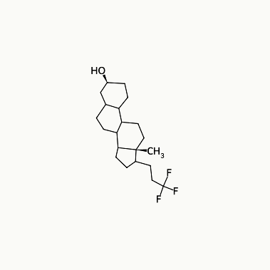 C[C@]12CCC3C4CC[C@H](O)CC4CCC3C1CCC2CCC(F)(F)F